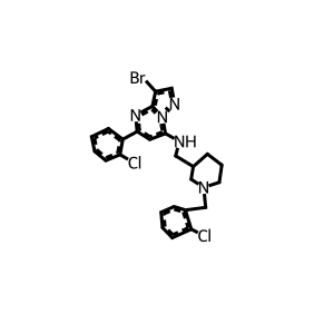 Clc1ccccc1CN1CCCC(CNc2cc(-c3ccccc3Cl)nc3c(Br)cnn23)C1